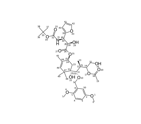 COc1ccc(OC)c(CO[C@@H]([C@@H](C)C(CO)OC(C)=O)[C@]2(O)C[C@H](OC(=O)[C@H](O)[C@@H](NC(=O)OC(C)(C)C)c3ccco3)C(C)=CC2(C)C)c1